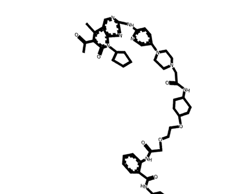 COc1ccc(NC(=O)c2ccccc2NC(=O)COCCOC2CCC(NC(=O)CN3CCN(c4ccc(Nc5ncc6c(C)c(C(C)=O)c(=O)n(C7CCCC7)c6n5)nc4)CC3)CC2)nn1